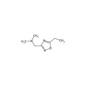 CCc1nc(CN(C)C)no1